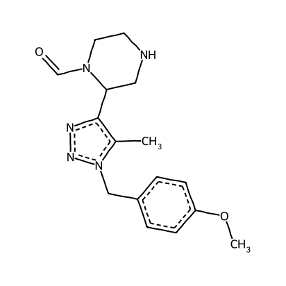 COc1ccc(Cn2nnc(C3CNCCN3C=O)c2C)cc1